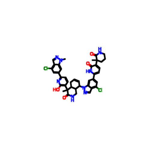 Cn1ncc2c(Cl)cc(-c3ccc(C4(C)C(=O)NCC5C(n6ncc7c(Cl)cc(-c8ccc(C9(C)CCCNC9=O)c(=O)[nH]8)cc76)C=CCC54)c(O)n3)cc21